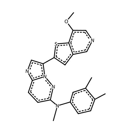 COc1cncc2cc(-c3cnc4ccc(N(C)c5ccc(C)c(C)c5)nn34)sc12